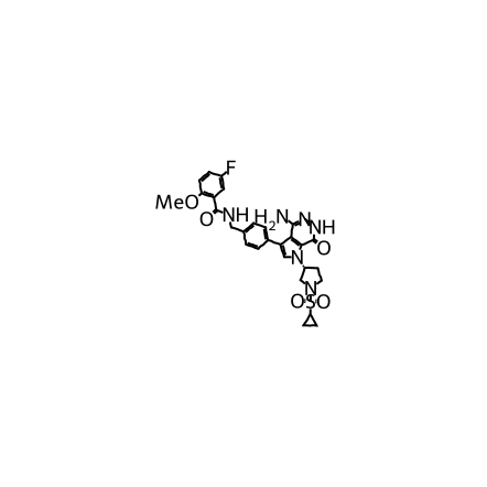 COc1ccc(F)cc1C(=O)NCc1ccc(-c2cn([C@@H]3CCN(S(=O)(=O)C4CC4)C3)c3c(=O)[nH]nc(N)c23)cc1